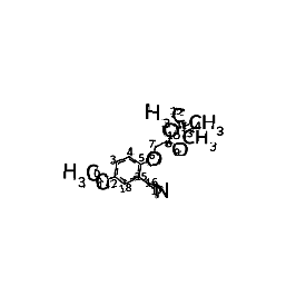 COc1ccc(OCC(=O)OC(C)(C)C)c(C#N)c1